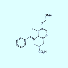 COCOc1ccc(CC(C)C(=O)O)c(/N=C/c2ccccc2)c1F